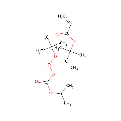 C.C=CC(=O)OC(C)(C)C.CC(C)OC(=O)OOOC(C)(C)C